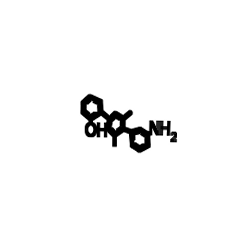 Cc1cc(-c2ccccc2O)cc(C)c1-c1cccc(N)c1